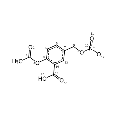 CC(=O)Oc1ccc(CO[N+](=O)[O-])cc1C(=O)O